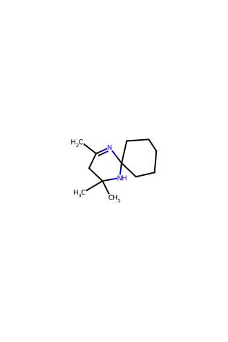 CC1=NC2(CCCCC2)NC(C)(C)C1